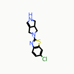 Clc1ccc2nc(N3CC4=CNCC4C3)sc2c1